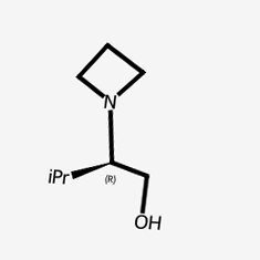 CC(C)[C@H](CO)N1CCC1